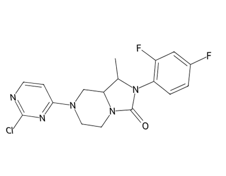 CC1C2CN(c3ccnc(Cl)n3)CCN2C(=O)N1c1ccc(F)cc1F